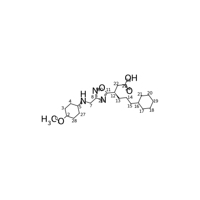 COC1CCC(NCc2noc([C@H](CCCC3CCCCC3)CC(=O)O)n2)CC1